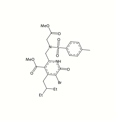 CCC(CC)Cc1c(C(=O)OC)c(CN(CC(=O)OC)S(=O)(=O)c2ccc(C)cc2)[nH]c(=O)c1Br